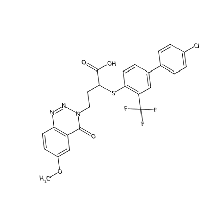 COc1ccc2nnn(CCC(Sc3ccc(-c4ccc(Cl)cc4)cc3C(F)(F)F)C(=O)O)c(=O)c2c1